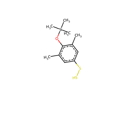 Cc1cc(SS)cc(C)c1O[Si](C)(C)C